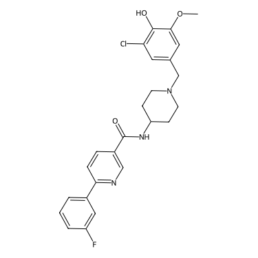 COc1cc(CN2CCC(NC(=O)c3ccc(-c4cccc(F)c4)nc3)CC2)cc(Cl)c1O